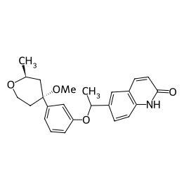 CO[C@]1(c2cccc(OC(C)c3ccc4[nH]c(=O)ccc4c3)c2)CCO[C@@H](C)C1